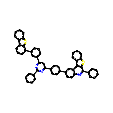 c1ccc(-c2nc(-c3ccc(-c4ccc5nc(-c6ccccc6)c6sc7ccccc7c6c5c4)cc3)cc(-c3cccc(-c4cccc5c4sc4ccccc45)c3)n2)cc1